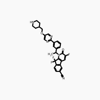 CC(c1cccc(-c2ncc(OCC3CCNCC3)cn2)c1)n1c2c(cc(F)c1=O)-c1cc(C#N)ccc1C2(F)F